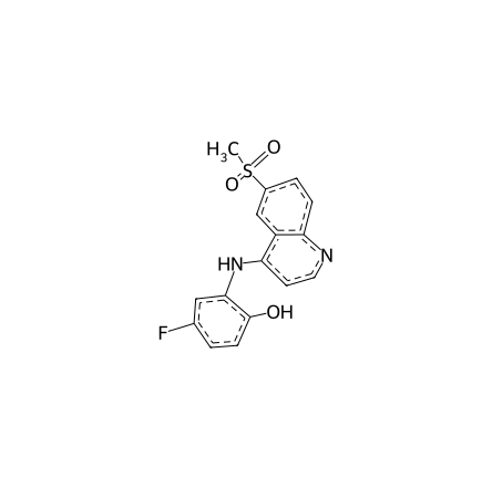 CS(=O)(=O)c1ccc2nccc(Nc3cc(F)ccc3O)c2c1